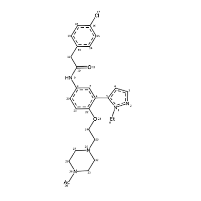 CCn1nccc1-c1cc(NC(=O)Cc2ccc(Cl)cc2)ccc1OCCN1CCN(C(C)=O)CC1